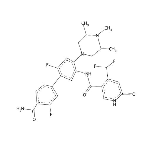 CC1CN(c2cc(F)c(-c3ccc(C(N)=O)c(F)c3)cc2NC(=O)c2c[nH]c(=O)cc2C(F)F)CC(C)N1C